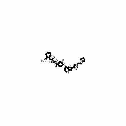 C#Cc1ccccc1CC(=O)NC(=S)Nc1ccc(Oc2ccnc3cc(-c4cn(CCN5CCCC5)cn4)sc23)c(F)c1